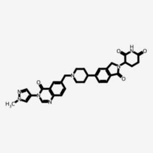 Cn1cc(-n2cnc3ccc(CN4CCC(c5ccc6c(c5)CN(C5CCC(=O)NC5=O)C6=O)CC4)cc3c2=O)cn1